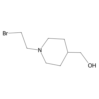 OCC1CCN(CCBr)CC1